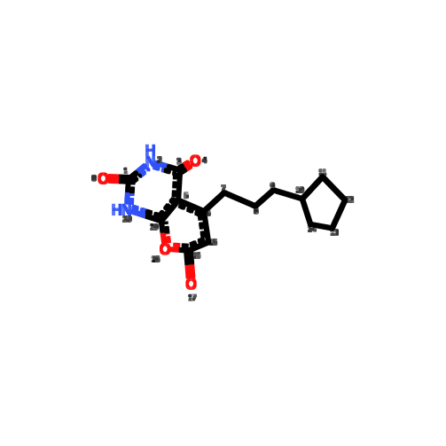 O=c1[nH]c(=O)c2c(CCCC3CCCC3)cc(=O)oc2[nH]1